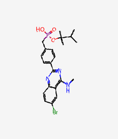 CNc1nc(-c2ccc(CP(=O)(O)OC(C)(C)C(C)C)cc2)nc2ccc(Br)cc12